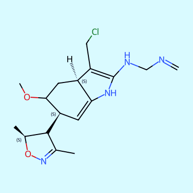 C=NCNC1=C(CCl)[C@@H]2CC(OC)[C@H](C3C(C)=NO[C@H]3C)C=C2N1